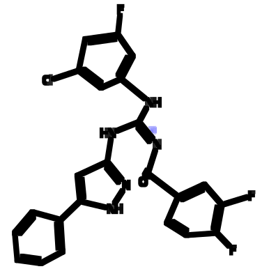 O=C(/N=C(/Nc1cc(F)cc(Cl)c1)Nc1cc(-c2ccccc2)[nH]n1)c1ccc(F)c(F)c1